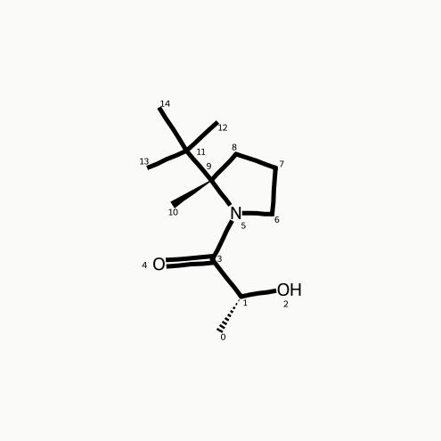 C[C@@H](O)C(=O)N1CCC[C@@]1(C)C(C)(C)C